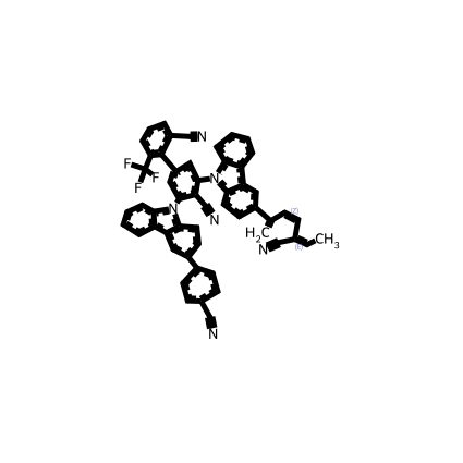 C=C(/C=C\C(C#N)=C/C)c1ccc2c(c1)c1ccccc1n2-c1cc(-c2c(C#N)cccc2C(F)(F)F)cc(-n2c3ccccc3c3cc(-c4ccc(C#N)cc4)ccc32)c1C#N